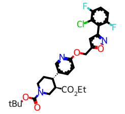 CCOC(=O)[C@H]1CN(C(=O)OC(C)(C)C)CC[C@@H]1c1ccc(OCc2cc(-c3c(F)ccc(F)c3Cl)no2)nc1